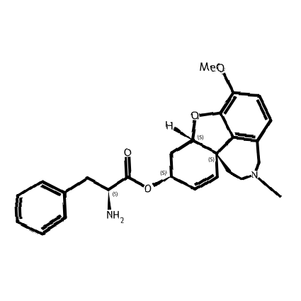 COc1ccc2c3c1O[C@H]1C[C@H](OC(=O)[C@@H](N)Cc4ccccc4)C=C[C@@]31CCN(C)C2